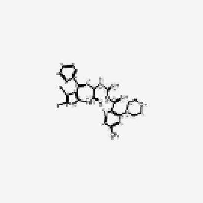 Cc1sc2c(c1C)C(c1ccccc1)=NC(NC(=N)OC(=N)c1ncc(C(F)(F)F)cc1N1CCOCC1)C(=O)N2